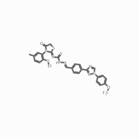 CCOc1ccc(C)cc1N1C(=O)CS/C1=N\C(=S)N/N=C/c1ccc(-c2ncn(-c3ccc(OC(F)(F)F)cc3)n2)cc1